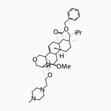 CO[C@@H]1C[C@@]23COC[C@@](C)([C@@H]2CC[C@H]2C3=CC[C@@]3(C)[C@H](C(=O)OCc4ccccc4)[C@@](C)([C@H](C)C(C)C)CC[C@]23C)[C@H]1OCCN1CCN(C)CC1